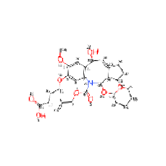 C=CCOC(=O)N1c2cc(OCCCC(=O)O)c(OC)cc2C(O)/C=C2/CCCC2C1OC1CCCCO1